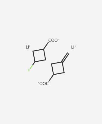 C=C1CC(C(=O)[O-])C1.O=C([O-])C1CC(F)C1.[Li+].[Li+]